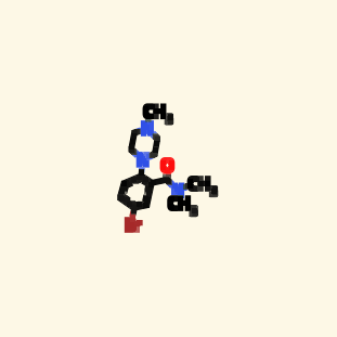 CN1CCN(c2ccc(Br)cc2C(=O)N(C)C)CC1